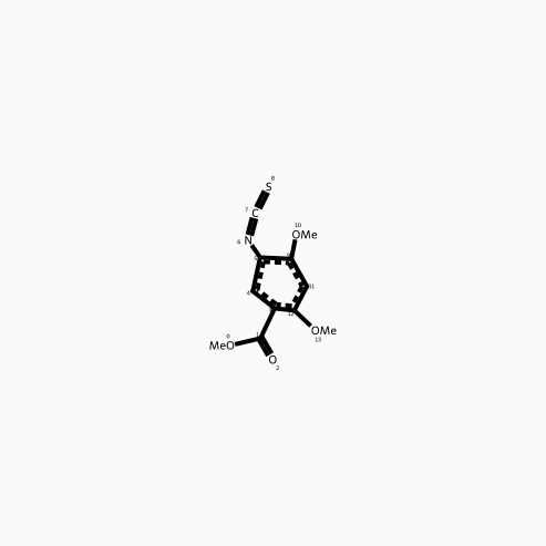 COC(=O)c1cc(N=C=S)c(OC)cc1OC